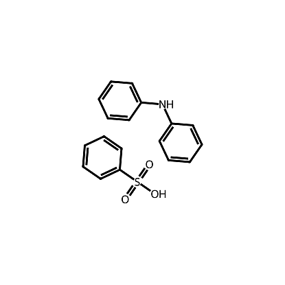 O=S(=O)(O)c1ccccc1.c1ccc(Nc2ccccc2)cc1